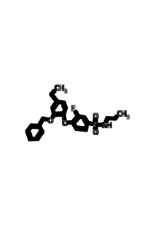 CCCNS(=O)(=O)c1ccc(Oc2ccc(CC)cc2OCc2ccccc2)c(F)c1